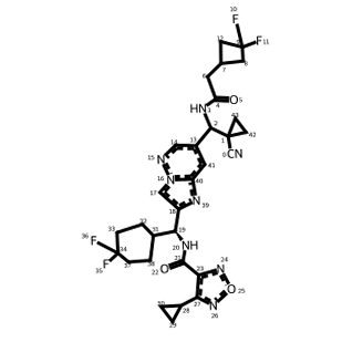 N#CC1(C(NC(=O)CC2CC(F)(F)C2)c2cnn3cc([C@@H](NC(=O)c4nonc4C4CC4)C4CCC(F)(F)CC4)nc3c2)CC1